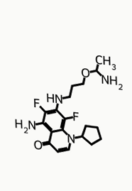 CC(N)OCCCNc1c(F)c(N)c2c(=O)ccn(C3CCCC3)c2c1F